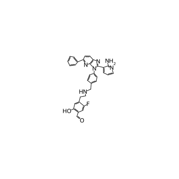 Nc1ncccc1-c1nc2ccc(-c3ccccc3)nc2n1-c1ccc(CNCCc2cc(O)c(C=O)cc2F)cc1